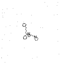 c1ccc(CCCCC(=NOCCCN2CCCCC2)c2ccccc2)cc1